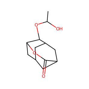 CC(O)OC1C2CC3CC(C2)C(=O)OC1C3